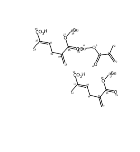 C=C(C)C(=O)OCCCC.C=C(CC=C(C)C(=O)O)C(=O)OCCCC.C=C(CC=C(C)C(=O)O)C(=O)OCCCC